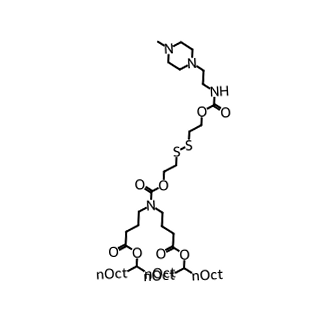 CCCCCCCCC(CCCCCCCC)OC(=O)CCCN(CCCC(=O)OC(CCCCCCCC)CCCCCCCC)C(=O)OCCSSCCOC(=O)NCCN1CCN(C)CC1